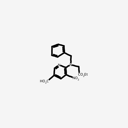 CCOC(=O)CN(Cc1ccccc1)c1ncc(C(=O)O)cc1[N+](=O)[O-]